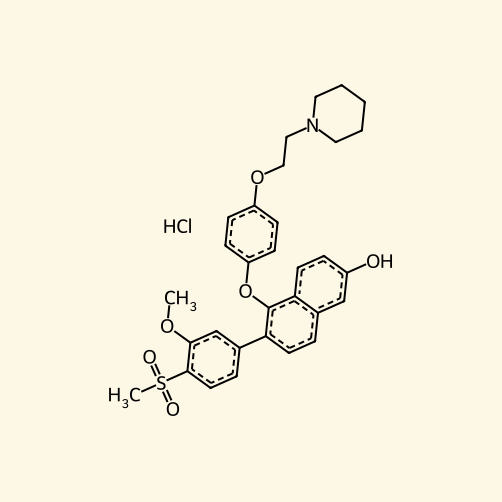 COc1cc(-c2ccc3cc(O)ccc3c2Oc2ccc(OCCN3CCCCC3)cc2)ccc1S(C)(=O)=O.Cl